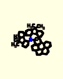 CC1(C)c2ccccc2-c2c(N(c3ccc(-c4cccc5ccc6ccc7ccccc7c6c45)cc3)c3cccc4c3-c3ccccc3C4(C)C)cccc21